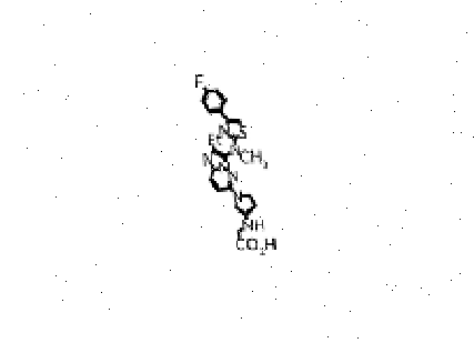 CCc1nc2ccc(N3CCC(NCC(=O)O)C3)nn2c1N(C)c1nc(-c2ccc(F)cc2)cs1